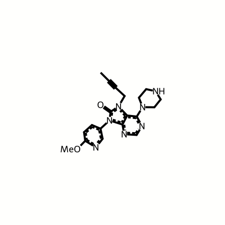 CC#CCn1c(=O)n(-c2ccc(OC)nc2)c2ncnc(N3CCNCC3)c21